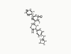 Cn1c(N2CCNC(c3ccc(CN4CCCC4)cc3)C2)nc(-c2ccncn2)cc1=O